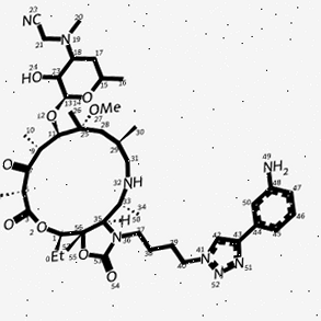 CC[C@H]1OC(=O)[C@H](C)C(=O)[C@H](C)[C@@H](O[C@@H]2OC(C)CC(N(C)CC#N)C2O)[C@](C)(OC)C[C@@H](C)CN[C@H](C)[C@H]2N(CCCCn3cc(-c4cccc(N)c4)nn3)C(=O)O[C@]12C